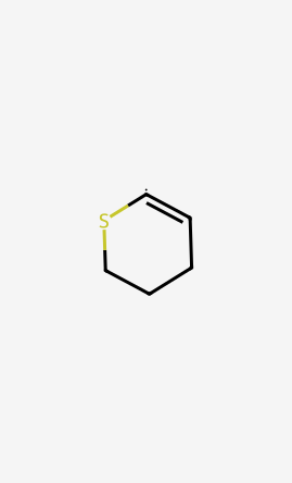 [C]1=CCCCS1